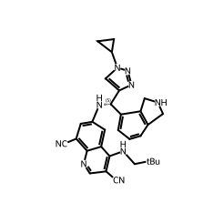 CC(C)(C)CNc1c(C#N)cnc2c(C#N)cc(N[C@H](c3cn(C4CC4)nn3)c3cccc4c3CNC4)cc12